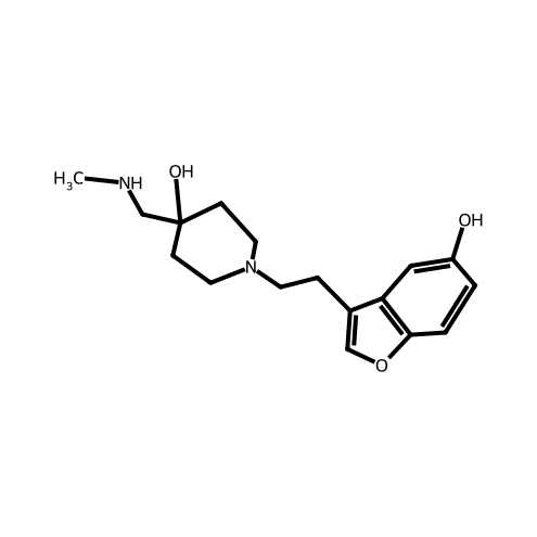 CNCC1(O)CCN(CCc2coc3ccc(O)cc23)CC1